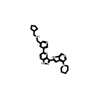 c1ncc(-c2ccc3[nH]nc(-c4cc5c(N6CCCCC6)cncc5[nH]4)c3n2)cc1CNCC1CCCC1